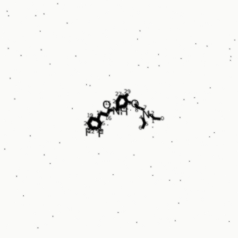 CCCN(CCC)CCOc1cc(NC(=O)C=Cc2ccc(F)c(F)c2)ccc1C